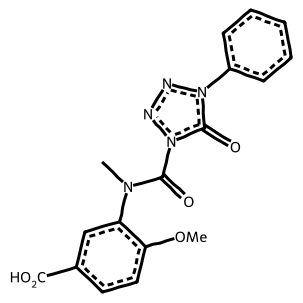 COc1ccc(C(=O)O)cc1N(C)C(=O)n1nnn(-c2ccccc2)c1=O